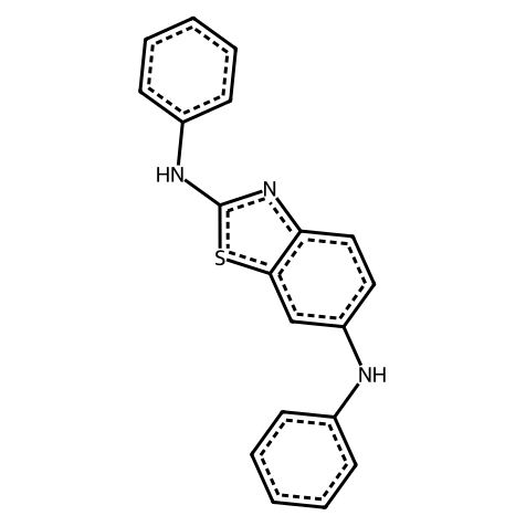 c1ccc(Nc2ccc3nc(Nc4ccccc4)sc3c2)cc1